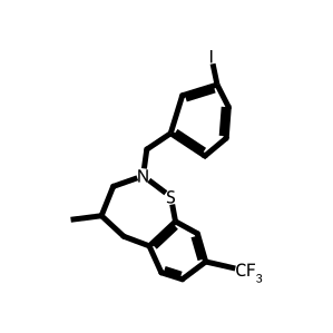 CC1Cc2ccc(C(F)(F)F)cc2SN(Cc2cccc(I)c2)C1